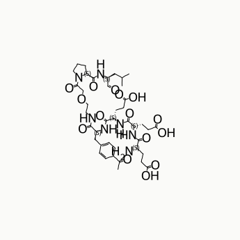 CC(=O)c1ccc(C[C@H](NC(=O)[C@H](CCC(=O)O)NC(=O)[C@H](CCC(=O)O)NC(=O)[C@@H](N)CCC(=O)O)C(=O)NCCOCC(=O)N2CCC[C@H]2C(=O)N[C@H](C=O)CC(C)C)cc1